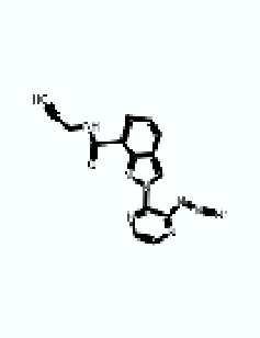 C#CCNC(=O)c1cccc2cn(-c3nccnc3N=[N+]=[N-])nc12